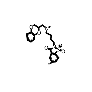 CN(CCCCN1C(=O)c2cc(F)ccc2S1(=O)=O)CC1COc2ccccc2O1